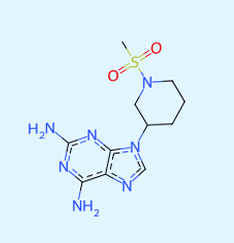 CS(=O)(=O)N1CCCC(n2cnc3c(N)nc(N)nc32)C1